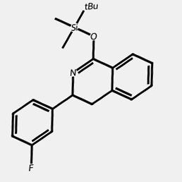 CC(C)(C)[Si](C)(C)OC1=NC(c2cccc(F)c2)Cc2ccccc21